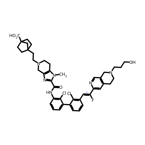 Cn1c(C(=O)Nc2cccc(-c3cccc(/C=C(\F)c4cc5c(cn4)CN(CCCO)CC5)c3Cl)c2Cl)nc2c1CCN(CCC13CCC(C(=O)O)(CC1)C3)C2